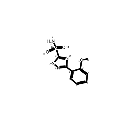 COc1ccccc1-c1nsc(S(N)(=O)=O)n1